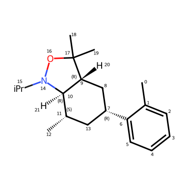 Cc1ccccc1[C@H]1C[C@@H]2[C@@H]([C@@H](C)C1)N(C(C)C)OC2(C)C